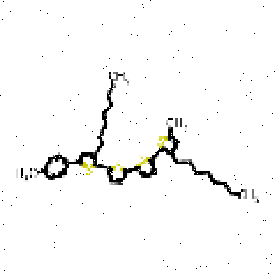 CCCCCCCCc1cc(C)sc1-c1ccc(-c2ccc(-c3sc(-c4ccc(C)cc4)cc3CCCCCCCC)s2)s1